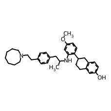 COc1ccc(C2CCc3cc(O)ccc3C2)c(NC(C)Cc2ccc(CCN3CCCCCCC3)cc2)c1